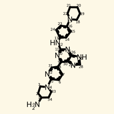 NC1CCN(c2ccc(-c3nc(Nc4ccc(N5CCCCC5)cc4)nc4[nH]cnc34)cn2)CC1